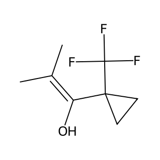 CC(C)=C(O)C1(C(F)(F)F)CC1